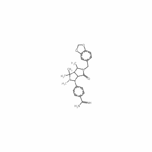 CC1C2C(C(=O)N1Cc1ccc3c(c1)OCO3)C(c1ccc(C(=N)N)cc1)N(C)C2(C)C